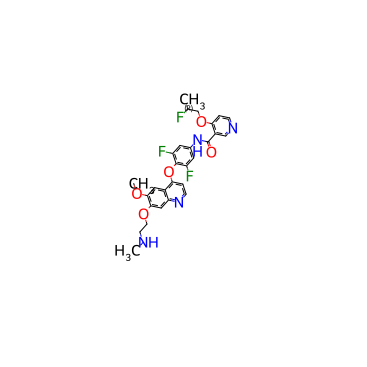 CNCCOc1cc2nccc(Oc3c(F)cc(NC(=O)c4cnccc4OC[C@@H](C)F)cc3F)c2cc1OC